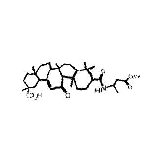 COC(=O)CC(C)NC(=O)C1CCC2(C)C(CCC3(C)C4CCC5(C)CC[C@](C)(C(=O)O)CC5C4=CC(=O)C32)C1(C)C